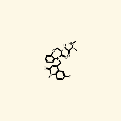 CN[C@@H](C)C(=O)N[C@H]1COc2ccccc2N(Cc2cc(=O)n(C)c3ccc(F)cc23)C1=O